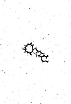 C=C/C=C\C1=C(C=C)CN(C[C@@H](O)CN2CC(=C)/C=C\C(C)/C=C\C(=C)C2)C1=O